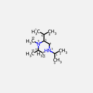 CC(C)NCC(C(C)C)N(C)C(C)C